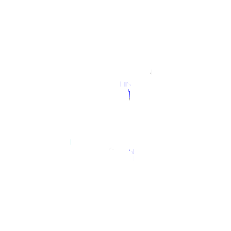 BN[C@H]1CCN[C@H](CF)C1